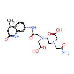 Cc1cc(=O)[nH]c2cc(NC(=O)CN(CCN(CC(N)=O)CC(=O)O)CC(=O)O)ccc12